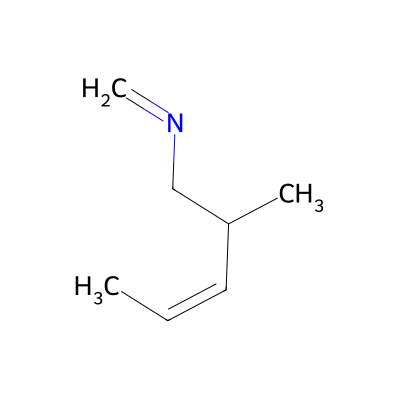 C=NCC(C)/C=C\C